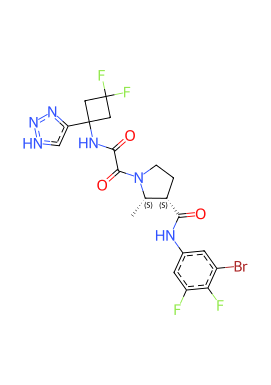 C[C@H]1[C@@H](C(=O)Nc2cc(F)c(F)c(Br)c2)CCN1C(=O)C(=O)NC1(c2c[nH]nn2)CC(F)(F)C1